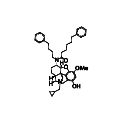 COc1cc(O)c2c3c1O[C@H]1[C@@H](N(CCCCc4ccccc4)C(=O)CCCCCc4ccccc4)CC[C@H]4[C@@H](C2)N(CC2CC2)CC[C@@]341